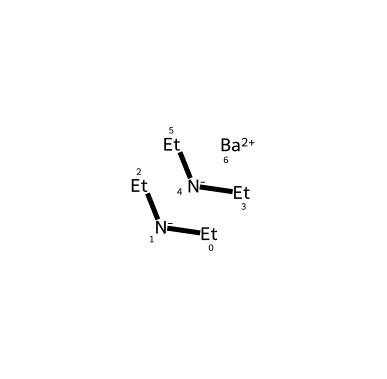 CC[N-]CC.CC[N-]CC.[Ba+2]